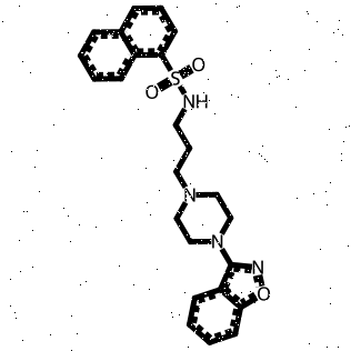 O=S(=O)(NCCCN1CCN(c2noc3ccccc23)CC1)c1cccc2ccccc12